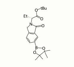 CC[C@H](C(=O)OC(C)(C)C)N1Cc2ccc(B3OC(C)(C)C(C)(C)O3)cc2C1=O